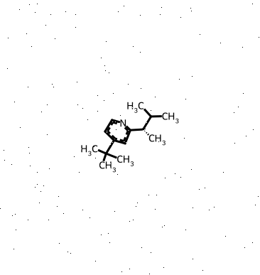 CC(C)[C@H](C)c1cc(C(C)(C)C)ccn1